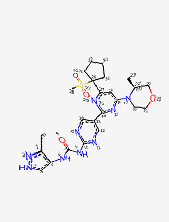 Cc1n[nH]cc1NC(=O)Nc1ncc(-c2nc(N3CCOC[C@@H]3C)cc(C3(S(C)(=O)=O)CCCC3)n2)cn1